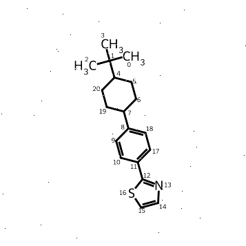 CC(C)(C)C1CCC(c2ccc(-c3nccs3)cc2)CC1